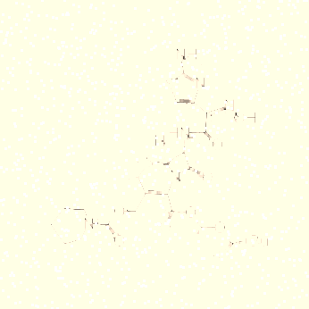 CC(C)(C)C(=O)OCOC(=O)C1=C(COC(=O)N2CCCCC2)CS[C@H]2C(NC(=O)/C(=N\O)c3csc(N)n3)C(=O)N12